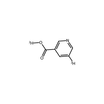 [2H]OC(=O)c1cncc([2H])c1